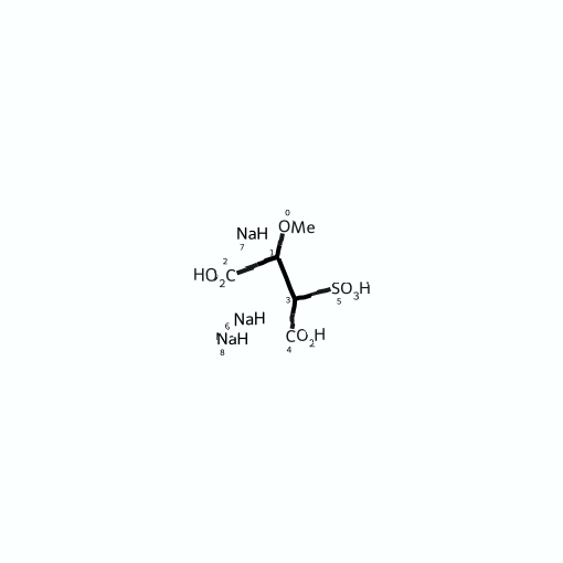 COC(C(=O)O)C(C(=O)O)S(=O)(=O)O.[NaH].[NaH].[NaH]